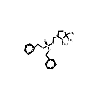 CC1(C)OC[C@H](COP(=O)(OCc2ccccc2)OCc2ccccc2)N1C(=O)O